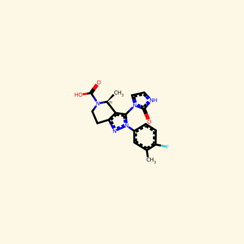 Cc1cc(-n2nc3c(c2-n2cc[nH]c2=O)[C@H](C)N(C(=O)O)CC3)ccc1F